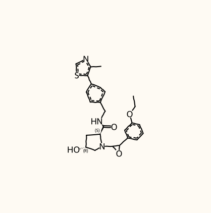 CCOc1cccc(C2OC2N2C[C@H](O)C[C@H]2C(=O)NCc2ccc(-c3scnc3C)cc2)c1